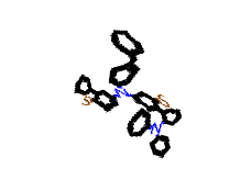 c1ccc(-c2ccc(N(c3ccc4c(c3)sc3cccc(N(c5ccccc5)c5ccccc5)c34)c3ccc4sc5ccccc5c4c3)cc2)cc1